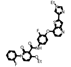 CCOc1ccn(-c2ccccc2F)c(=O)c1C(=O)Nc1ccc(Oc2ccnc3cc(-c4cn(CC)cn4)sc23)c(F)c1